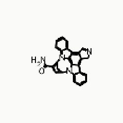 NC(=O)C1=C2CC(=C1)n1c3ccccc3c3c4c(c5c6ccccc6n2c5c31)C=NC4